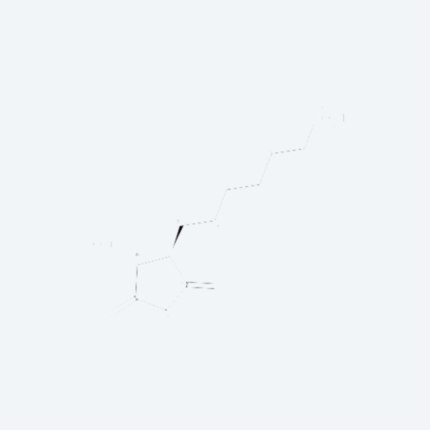 CCCCCCCC[C@H]1C(=O)CC(=O)[C@@H]1CCCCCCC(=O)O